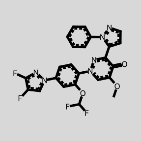 COc1cn(-c2ccc(-n3cc(F)c(F)n3)cc2OC(F)F)nc(-c2ccnn2-c2ccccc2)c1=O